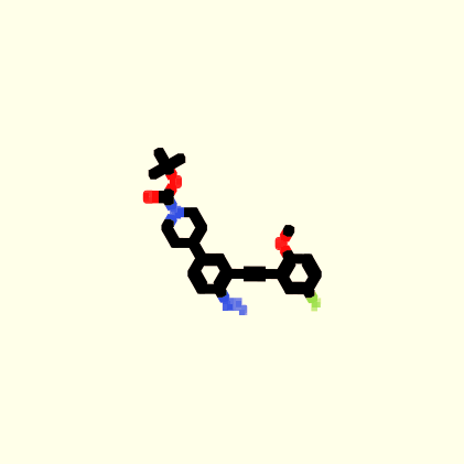 COc1ccc(F)cc1C#Cc1cc(C2CCN(C(=O)OC(C)(C)C)CC2)ccc1N